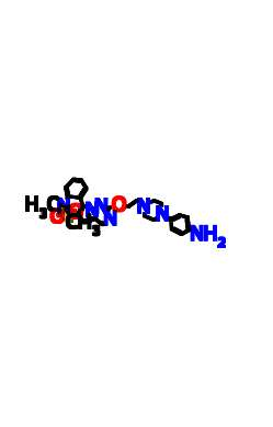 CN(c1ccccc1-c1ccc2cnc(OCCN3CCN(c4ccc(N)cc4)CC3)nn12)S(C)(=O)=O